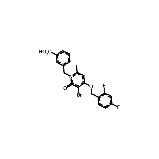 Cc1cc(OCc2ccc(F)cc2F)c(Br)c(=O)n1Cc1cccc(C(=O)O)c1